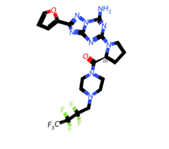 Nc1nc(N2CCC[C@H]2C(=O)N2CCN(CC(F)(F)C(F)(F)C(F)(F)F)CC2)nc2nc(-c3ccco3)nn12